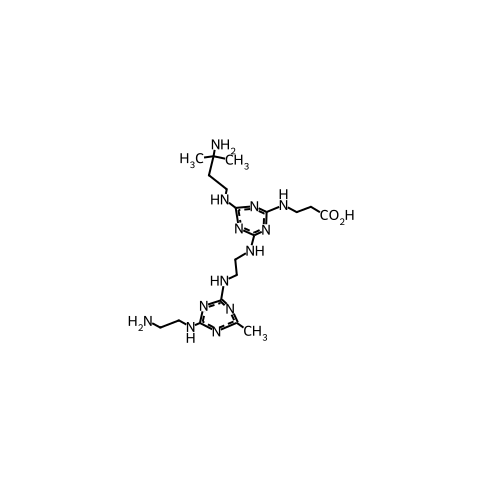 Cc1nc(NCCN)nc(NCCNc2nc(NCCC(=O)O)nc(NCCC(C)(C)N)n2)n1